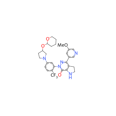 COc1cncc(-c2nn(-c3cc(N4CCC(OC5CCCCO5)C4)ccc3C(F)(F)F)c(=O)c3c2CCN3)c1